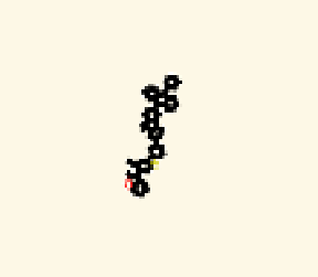 C=Cc1cc2c(cc1-c1c(C)oc3ccccc13)sc1ccc(-c3ccc4c(c3)C(C)(C)c3ccc(-c5c6ccccc6c(-c6ccccc6)c6ccccc56)cc3-4)cc12